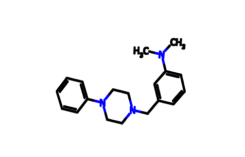 CN(C)c1cccc(CN2CCN(c3ccccc3)CC2)c1